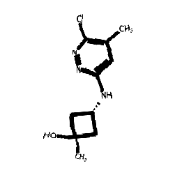 Cc1cc(N[C@H]2C[C@@](C)(O)C2)nnc1Cl